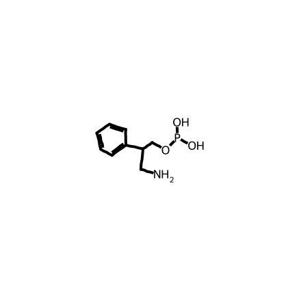 NCC(COP(O)O)c1ccccc1